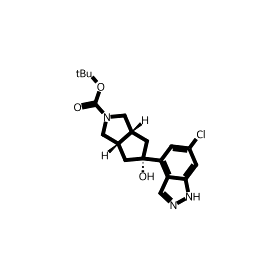 CC(C)(C)OC(=O)N1C[C@@H]2C[C@@](O)(c3cc(Cl)cc4[nH]ncc34)C[C@@H]2C1